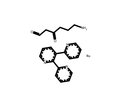 NCCCC(=O)CC=O.[Ru].c1ccc(-c2cccnc2-c2ccccn2)nc1